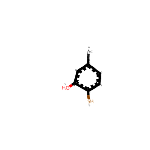 CC(=O)c1ccc(S)c(O)c1